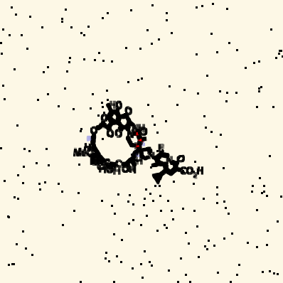 CO[C@H]1/C=C/O[C@@]2(C)Oc3c(C)c(O)c4c(c3C2=O)C(=O)C(N2CCN(C3CCN(c5c(F)cn6c(=O)c(C(=O)O)cc(C7CC7)c6c5C)C3)CC2)=C(NC(=O)/C(C)=C\C=C\[C@H](C)[C@H](O)C[C@@H](O)C[C@H](OC(C)=O)[C@@H]1C)C4=O